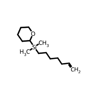 C=CCCCCC[Si](C)(C)C1CCCCO1